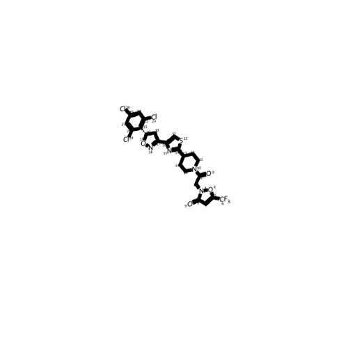 O=C(Cn1oc(C(F)(F)F)cc1=O)N1CCC(c2nc(C3=NO[C@H](c4c(Cl)cc(Cl)cc4Cl)C3)cs2)CC1